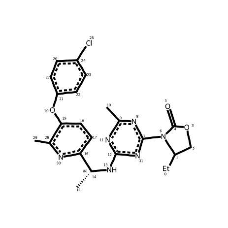 CCC1COC(=O)N1c1nc(C)nc(N[C@H](C)c2ccc(Oc3ccc(Cl)cc3)c(C)n2)n1